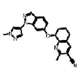 Cc1nc2c(cc1C#N)CCCC2Oc1ccc2cnn(-c3cnn(C)c3)c2c1